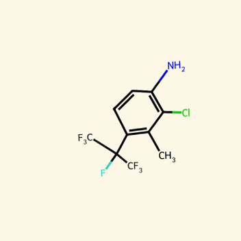 Cc1c(C(F)(C(F)(F)F)C(F)(F)F)ccc(N)c1Cl